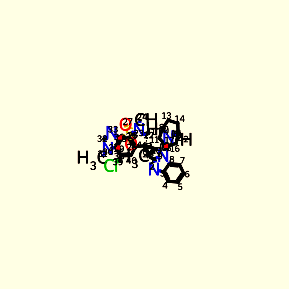 Cc1nc2ccccc2n1[C@@H]1C[C@H]2CC[C@@H](C1)N2C[C@@H]1C[C@@]1(CN(C)S(=O)(=O)c1cn(C)cn1)c1cccc(Cl)c1